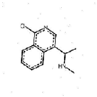 CNC(C)c1cnc(Cl)c2ccccc12